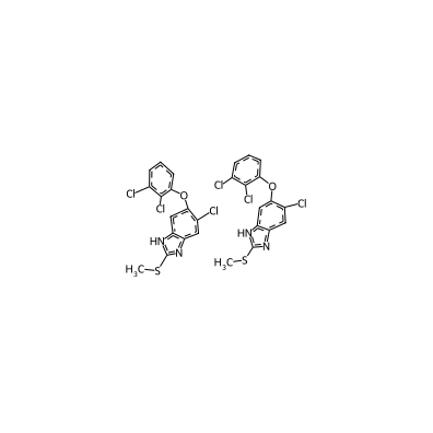 CSc1nc2cc(Cl)c(Oc3cccc(Cl)c3Cl)cc2[nH]1.CSc1nc2cc(Cl)c(Oc3cccc(Cl)c3Cl)cc2[nH]1